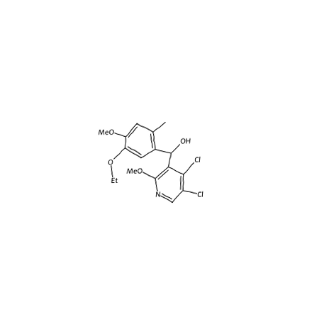 CCOc1cc(C(O)c2c(OC)ncc(Cl)c2Cl)c(C)cc1OC